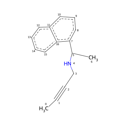 CC#CCNC(C)c1cccc2ccccc12